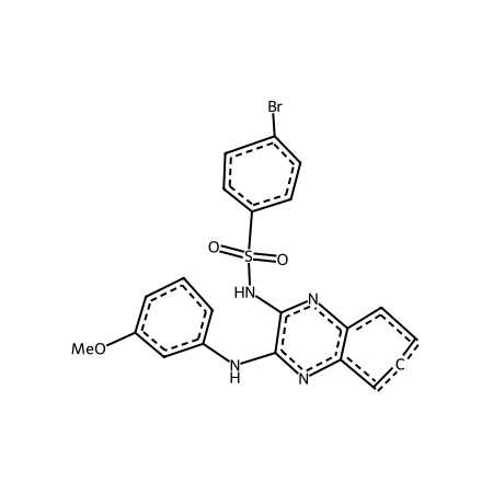 COc1cccc(Nc2nc3ccccc3nc2NS(=O)(=O)c2ccc(Br)cc2)c1